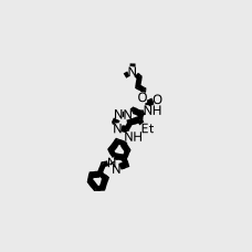 CCc1c(NC(=O)OCCCN(C)C)cn2ncnc(Nc3ccc4c(cnn4Cc4ccccc4)c3)c12